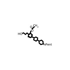 C=CC(=O)OCc1cc(C2CCC(C3CCC(CCCCC)CC3)CC2)ccc1CCCO